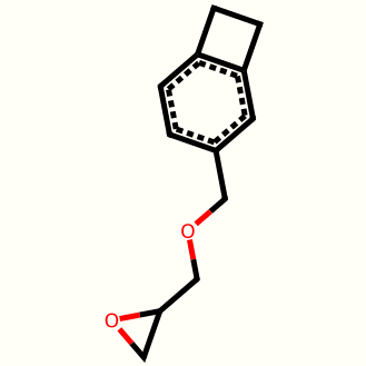 c1cc2c(cc1COCC1CO1)CC2